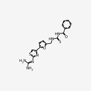 NC(N)=Nc1nc(-c2ccc(CNC(=S)NC(=O)c3ccccc3)o2)cs1